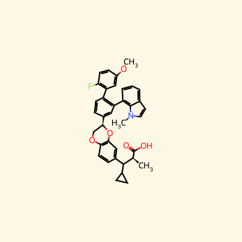 COc1ccc(F)c(-c2ccc([C@@H]3COc4ccc(C(C5CC5)[C@H](C)C(=O)O)cc4O3)cc2-c2cccc3ccn(C)c23)c1